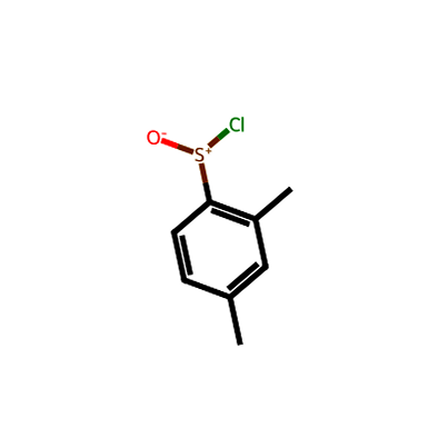 Cc1ccc([S+]([O-])Cl)c(C)c1